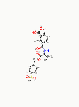 Cc1c(C(=O)N[C@H](C(=O)OCc2ccc(S(C)(=O)=O)cc2)C(C)C)ccc2c1B(O)OC2